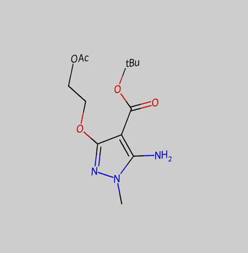 CC(=O)OCCOc1nn(C)c(N)c1C(=O)OC(C)(C)C